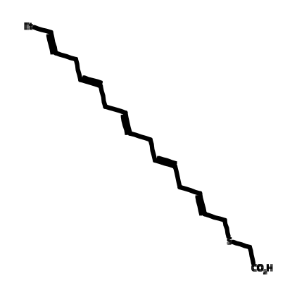 CCC=CCC=CCC=CCC=CCC=CCSCC(=O)O